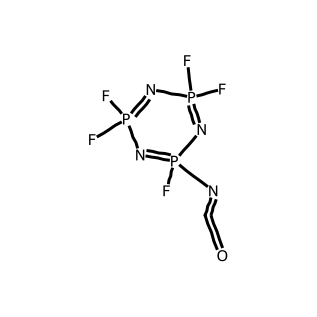 O=C=NP1(F)=NP(F)(F)=NP(F)(F)=N1